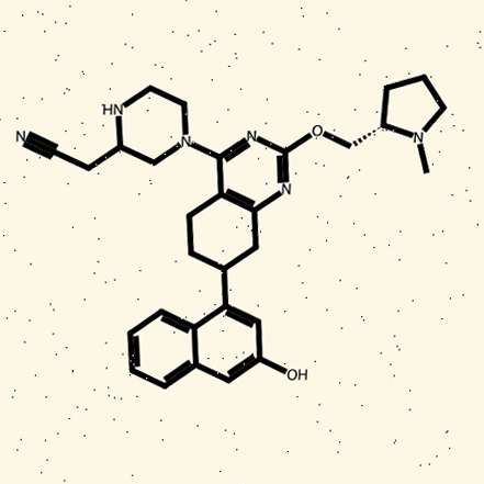 CN1CCC[C@H]1COc1nc2c(c(N3CCNC(CC#N)C3)n1)CCC(c1cc(O)cc3ccccc13)C2